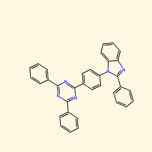 c1ccc(-c2nc(-c3ccccc3)nc(-c3ccc(-n4c(-c5ccccc5)nc5ccccc54)cc3)n2)cc1